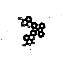 O=C(O)c1cccc(-c2ccc(C3(c4ccc(-c5cccc(C(=O)O)c5C(=O)O)cc4)c4ccccc4-c4ccccc43)cc2)c1C(=O)O